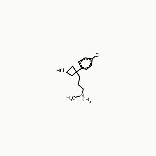 CN(C)CCCC1(c2ccc(Cl)cc2)CCC1.Cl